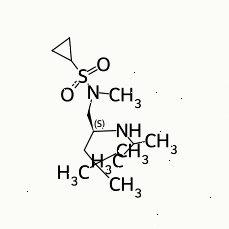 CC(C)N[C@H](CN(C)S(=O)(=O)C1CC1)CC(C)(C)C